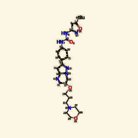 CC(C)(C)c1cc(NC(=O)Nc2ccc(-c3cc4ncc(OCCCN5CCOCC5)cn4n3)cc2)no1